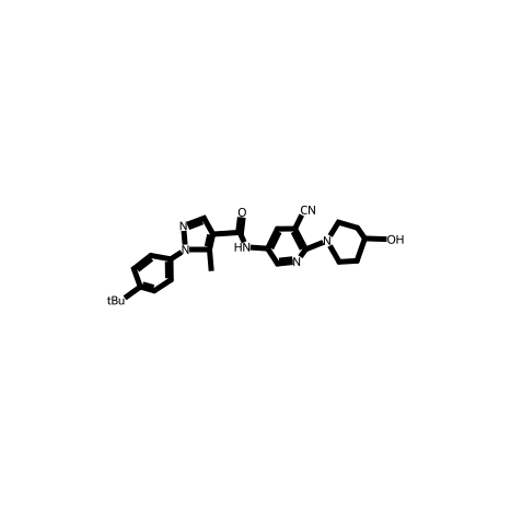 Cc1c(C(=O)Nc2cnc(N3CCC(O)CC3)c(C#N)c2)cnn1-c1ccc(C(C)(C)C)cc1